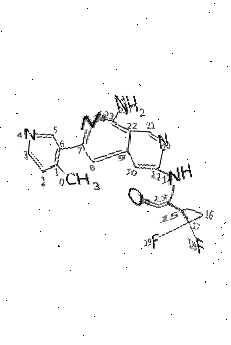 Cc1ccncc1-c1cc2cc(NC(=O)C3CC3(F)F)ncc2c(N)n1